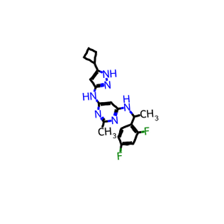 Cc1nc(Nc2cc(C3CCC3)[nH]n2)cc(NC(C)c2ccc(F)cc2F)n1